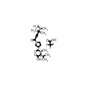 CC(C)[C@@H](C(=O)O)N(C)C(=O)[C@H]1CCN(C(=O)C#CC(C)(C)N(C)C)C1.O=C(O)C(F)(F)F